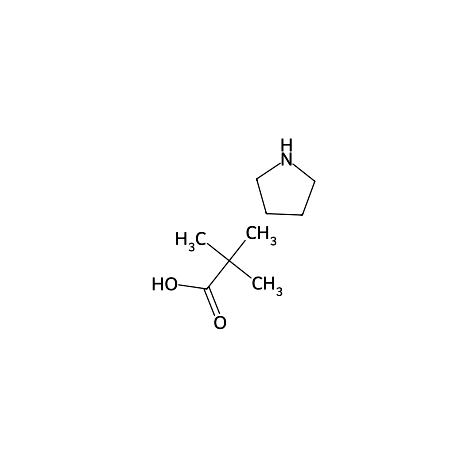 C1CCNC1.CC(C)(C)C(=O)O